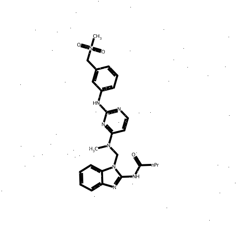 CCCC(=O)Nc1nc2ccccc2n1CN(C)c1ccnc(Nc2cccc(CS(C)(=O)=O)c2)n1